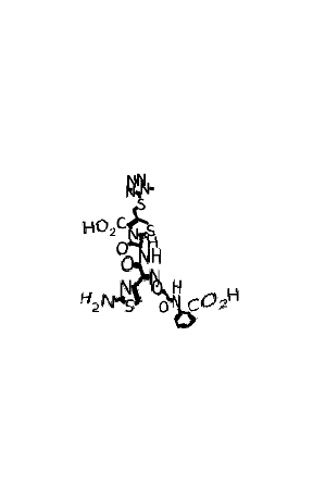 Cn1nnnc1SCC1=C(C(=O)O)N2C(=O)C(NC(=O)C(=NOCC(=O)Nc3ccccc3C(=O)O)c3csc(N)n3)[C@@H]2SC1